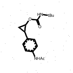 CC(=O)Nc1ccc(C2CC2OC(=O)NC(C)(C)C)cc1